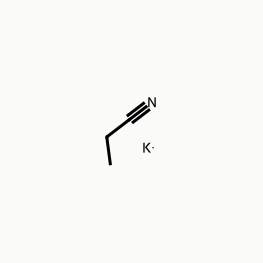 CCC#N.[K]